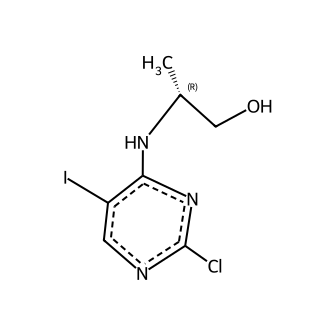 C[C@H](CO)Nc1nc(Cl)ncc1I